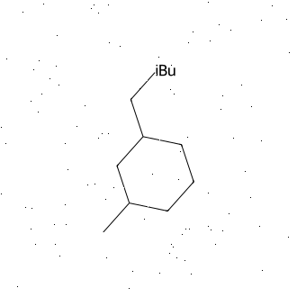 CCC(C)CC1CCCC(C)C1